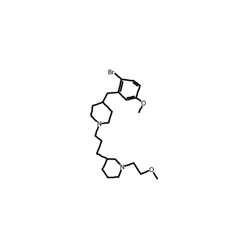 COCCN1CCCC(CCCN2CCC(Cc3cc(OC)ccc3Br)CC2)C1